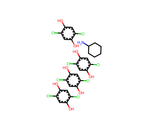 NC1CCCCC1.Oc1cc(Cl)c(O)cc1Cl.Oc1cc(Cl)c(O)cc1Cl.Oc1cc(Cl)c(O)cc1Cl.Oc1cc(Cl)c(O)cc1Cl